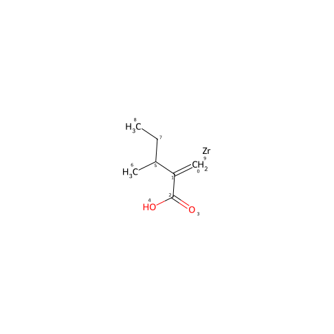 C=C(C(=O)O)C(C)CC.[Zr]